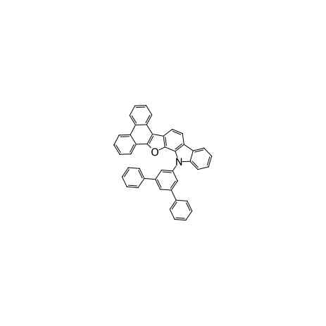 c1ccc(-c2cc(-c3ccccc3)cc(-n3c4ccccc4c4ccc5c(oc6c7ccccc7c7ccccc7c56)c43)c2)cc1